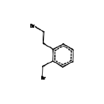 BrCCc1ccccc1CBr